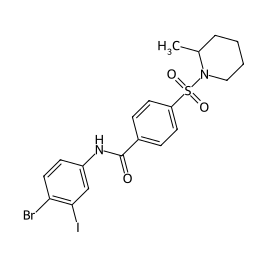 CC1CCCCN1S(=O)(=O)c1ccc(C(=O)Nc2ccc(Br)c(I)c2)cc1